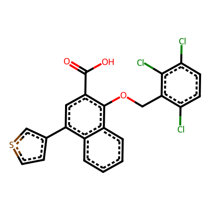 O=C(O)c1cc(-c2ccsc2)c2ccccc2c1OCc1c(Cl)ccc(Cl)c1Cl